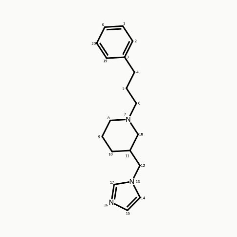 c1ccc(CCCN2CCCC(Cn3ccnc3)C2)cc1